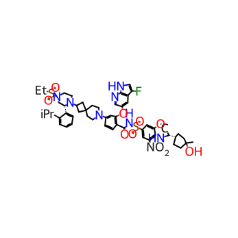 CCS(=O)(=O)N1CCN(C2CC3(CCN(c4ccc(C(=O)NS(=O)(=O)c5cc6c(c([N+](=O)[O-])c5)N[C@@H](C5CCC(C)(O)CC5)CO6)c(Oc5cnc6[nH]cc(F)c6c5)c4)CC3)C2)[C@H](c2ccccc2C(C)C)C1